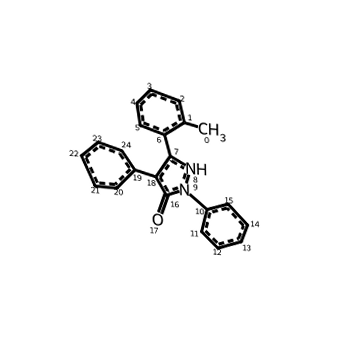 Cc1ccccc1-c1[nH]n(-c2ccccc2)c(=O)c1-c1ccccc1